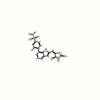 Cc1cc(S(=O)(=O)N(C)C)ccc1-c1cncc2cc(/C=C3/SC(=S)NC3=O)oc12